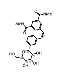 CNC(=O)c1cc(/C=C\c2cccc([C@H]3O[C@H](CO)[C@@H](O)[C@H](O)[C@@H]3O)c2)cc(C(=O)NC)c1